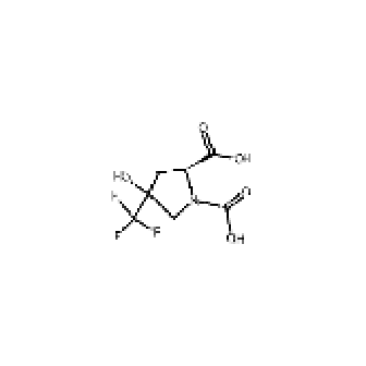 O=C(O)[C@@H]1CC(O)(C(F)(F)F)CN1C(=O)O